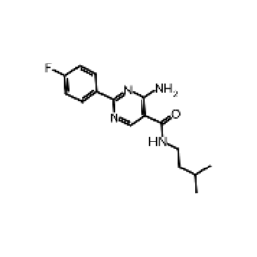 CC(C)CCNC(=O)c1cnc(-c2ccc(F)cc2)nc1N